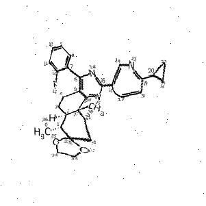 C[C@@H]1[C@H]2CCc3c(-c4ccccc4F)nc(-c4ccc(C5CC5)nc4)nc3[C@]2(C)CCC12OCCO2